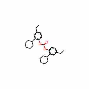 CCc1ccc(OC(=O)Oc2ccc(CC)cc2C2CCCCC2)c(C2CCCCC2)c1